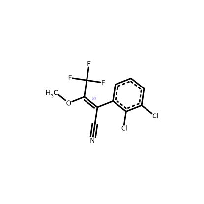 CO/C(=C(\C#N)c1cccc(Cl)c1Cl)C(F)(F)F